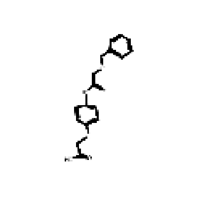 O=C(O)COc1ccc(NC(=O)COCc2ccccc2)cc1